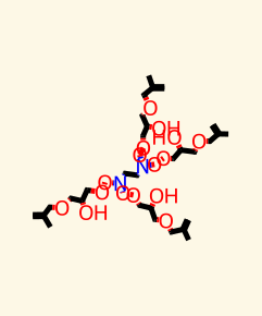 C=C(C)COCC(O)COON(CCN(OOCC(O)COCC(=C)C)OOCC(O)COCC(=C)C)OOCC(O)COCC(=C)C